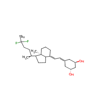 C[C@@H](CCC(F)(F)C(C)(C)C)C1CCC2/C(=C/C=C3C[C@@H](O)C[C@H](O)C3)CCC[C@@]21C